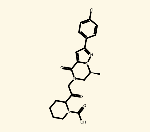 C[C@H]1CN(CC(=O)C2CCCCN2C(=O)O)C(=O)c2cc(-c3ccc(Cl)cc3)nn21